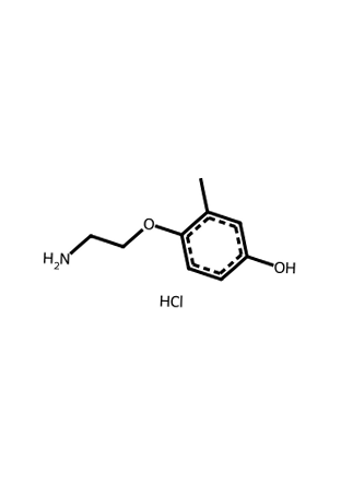 Cc1cc(O)ccc1OCCN.Cl